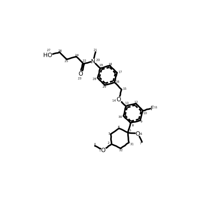 COC1CCC(OC)(c2cc(F)cc(OCc3ccc(N(C)C(=O)CCCO)cc3)c2)CC1